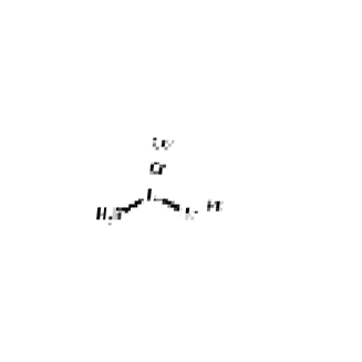 [BH2][Ta][Re].[Co].[Cr].[Pt]